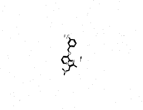 CI.Cc1nc2c(OCc3cccc(C(F)(F)F)c3)cccn2c1CN(C)C